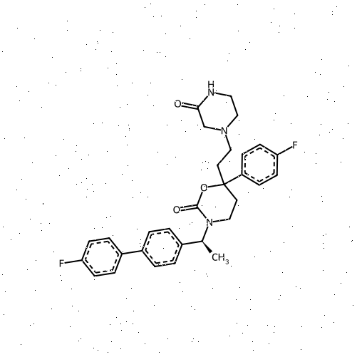 C[C@@H](c1ccc(-c2ccc(F)cc2)cc1)N1CCC(CCN2CCNC(=O)C2)(c2ccc(F)cc2)OC1=O